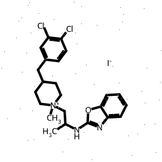 CC(C[N+]1(C)CCC(Cc2ccc(Cl)c(Cl)c2)CC1)Nc1nc2ccccc2o1.[I-]